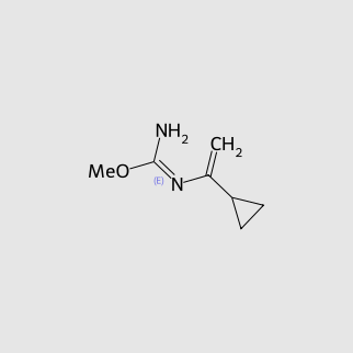 C=C(/N=C(\N)OC)C1CC1